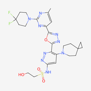 Cc1cc(-c2nnc(-c3nnc(NS(=O)(=O)CCO)cc3N3CCC4(CC3)CC4)o2)nc(N2CCC(F)(F)CC2)n1